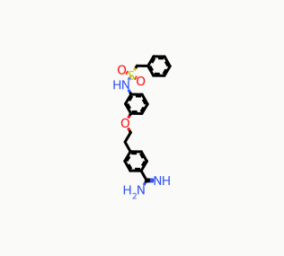 N=C(N)c1ccc(CCOc2cccc(NS(=O)(=O)Cc3ccccc3)c2)cc1